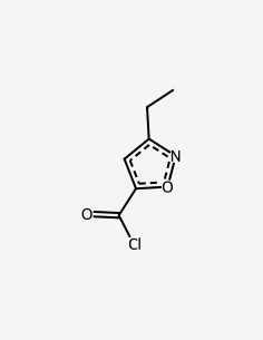 CCc1cc(C(=O)Cl)on1